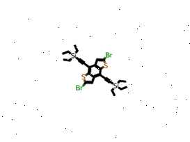 CC[Si](C#Cc1c2cc(Br)sc2c(C#C[Si](CC)(CC)CC)c2cc(Br)sc12)(CC)CC